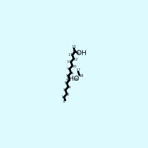 CCCCCCCCCCCCCCC(C)O.CCO